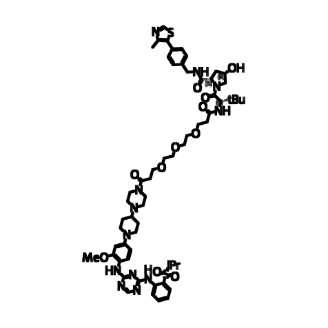 COc1cc(N2CCC(N3CCN(C(=O)CCOCCOCCOCCC(=O)N[C@H](C(=O)N4C[C@H](O)C[C@H]4C(=O)NCc4ccc(-c5scnc5C)cc4)C(C)(C)C)CC3)CC2)ccc1Nc1ncnc(Nc2ccccc2S(=O)(=O)C(C)C)n1